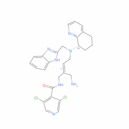 NC/C(=C\CN(Cc1nc2ccccc2[nH]1)[C@H]1CCCc2cccnc21)CNC(=O)c1c(Cl)cncc1Cl